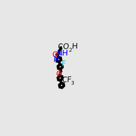 O=C(O)CCNC(=O)c1ccc(-c2ccc(COc3ccc(-c4ccccc4)c(C(F)(F)F)c3)cc2F)cn1